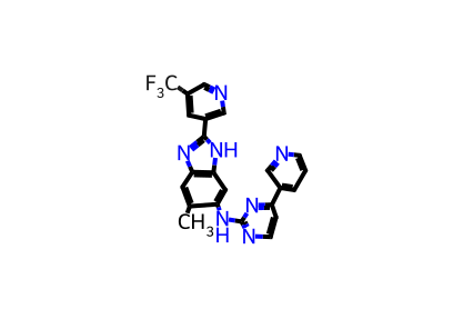 Cc1cc2nc(-c3cncc(C(F)(F)F)c3)[nH]c2cc1Nc1nccc(-c2cccnc2)n1